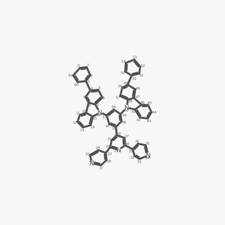 c1ccc(-c2ccc3c(c2)c2ccccc2n3-c2cc(-c3cc(-c4ccncc4)nc(-c4ccncc4)c3)cc(-n3c4ccccc4c4cc(-c5ccccc5)ccc43)c2)cc1